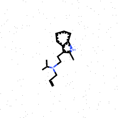 C=CCN(CCc1c(C)[nH]c2ccccc12)C(C)C